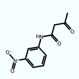 CC(=O)CC(=O)Nc1cccc([N+](=O)[O-])c1